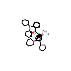 CN(C)[C@@H](c1ccccc1P(C1CCCCC1)C1CCCCC1)[C]12[C]3(C4CCCCC4)[C]4(C5CCCCC5)[CH]5[C@@]1(P)[Fe]54321678[CH]2[CH]1[CH]6[CH]7[CH]28